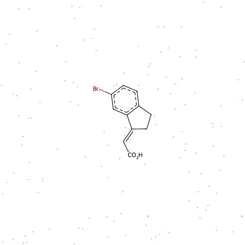 O=C(O)C=C1CCc2ccc(Br)cc21